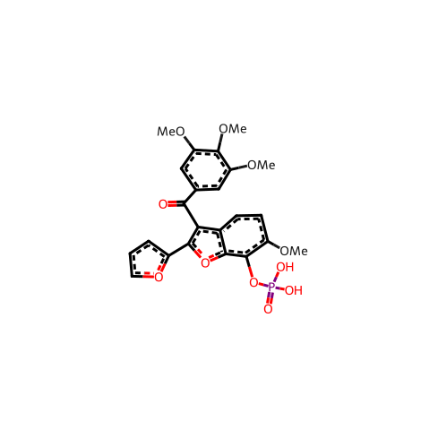 COc1cc(C(=O)c2c(-c3ccco3)oc3c(OP(=O)(O)O)c(OC)ccc23)cc(OC)c1OC